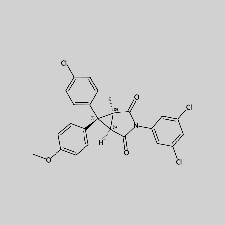 COc1ccc([C@]2(c3ccc(Cl)cc3)[C@@H]3C(=O)N(c4cc(Cl)cc(Cl)c4)C(=O)[C@@]32C)cc1